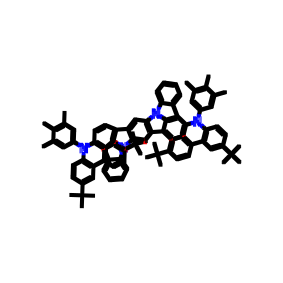 Cc1cc(N(c2ccc(C(C)(C)C)cc2-c2ccc(C(C)(C)C)cc2)c2ccc3c4cc5c(cc4n4c6ccccc6c2c34)c2ccc(N(c3cc(C)c(C)c(C)c3)c3ccc(C(C)(C)C)cc3-c3ccc(C(C)(C)C)cc3)c3c4ccccc4n5c23)cc(C)c1C